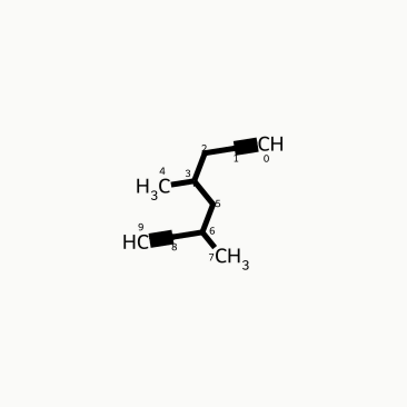 C#CC[C](C)CC(C)C#C